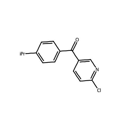 CC(C)c1ccc(C(=O)c2ccc(Cl)nc2)cc1